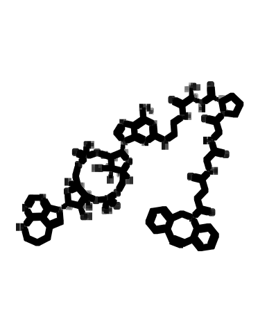 CC[C@H](C)[C@H](NC(=O)[C@@H]1CCCN1C(=O)CNC(=O)CNC(=O)CCC(=O)N1Cc2ccccc2C#Cc2ccccc21)C(=O)NCCNc1nc(N)c2ncn([C@@H]3O[C@@H]4COP(=O)(S)O[C@H]5[C@@H](O)[C@H](n6cc7c8c(ncnc86)NCCC7)O[C@@H]5COP(=O)(S)O[C@@H]3[C@@H]4O)c2n1